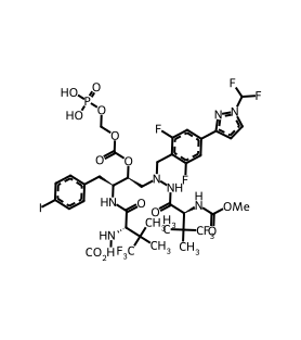 COC(=O)N[C@H](C(=O)NN(Cc1c(F)cc(-c2ccn(C(F)F)n2)cc1F)C[C@H](OC(=O)OCOP(=O)(O)O)[C@H](Cc1ccc(I)cc1)NC(=O)[C@@H](NC(=O)O)C(C)(C)C(F)(F)F)C(C)(C)C(F)(F)F